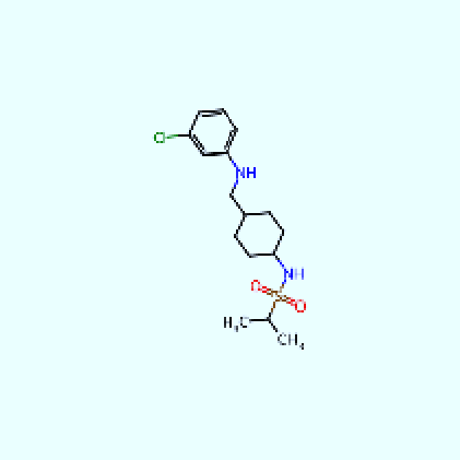 CC(C)S(=O)(=O)NC1CCC(CNc2cccc(Cl)c2)CC1